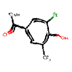 COC(=O)c1cc(Br)c(O)c(C(F)(F)F)c1